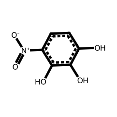 O=[N+]([O-])c1ccc(O)c(O)c1O